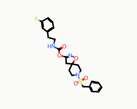 O=C(NCCc1cccc(F)c1)OC1=NOC2(CCN(S(=O)(=O)Cc3ccccc3)CC2)C1